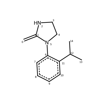 C=C1NCCN1c1ccccc1C(C)C